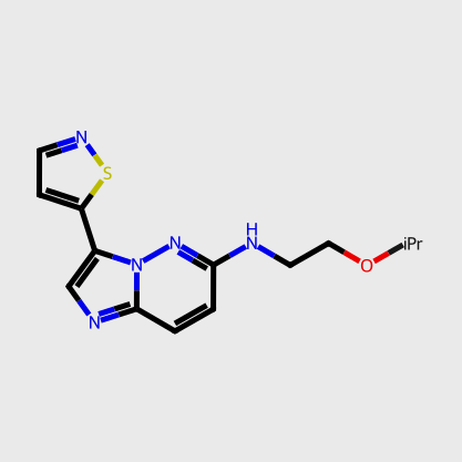 CC(C)OCCNc1ccc2ncc(-c3ccns3)n2n1